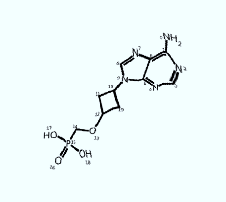 Nc1ncnc2c1ncn2C1CC(OCP(=O)(O)O)C1